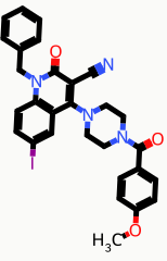 COc1ccc(C(=O)N2CCN(c3c(C#N)c(=O)n(Cc4ccccc4)c4ccc(I)cc34)CC2)cc1